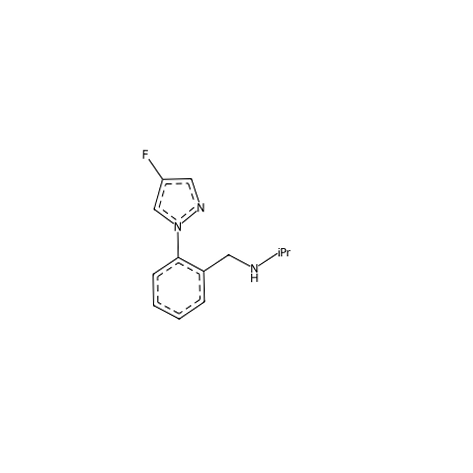 CC(C)NCc1ccccc1-n1cc(F)cn1